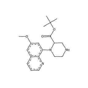 COc1cc(N2CCNCC2C(=O)OC(C)(C)C)c2ncccc2c1